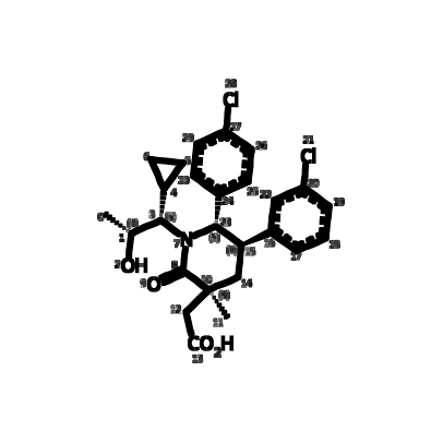 C[C@@H](O)[C@H](C1CC1)N1C(=O)[C@](C)(CC(=O)O)C[C@H](c2cccc(Cl)c2)[C@H]1c1ccc(Cl)cc1